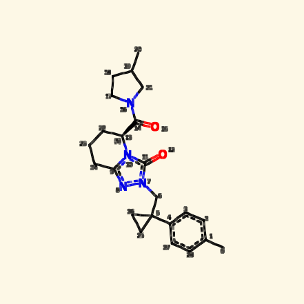 Cc1ccc(C2(Cn3nc4n(c3=O)[C@H](C(=O)N3CCC(C)C3)CCC4)CC2)cc1